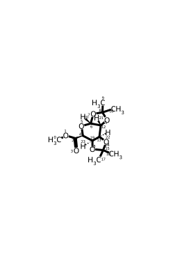 COC(=O)[C@H]1O[C@@H]2OC(C)(C)O[C@@H]2[C@H]2OC(C)(C)O[C@H]21